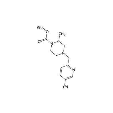 CC1CN(Cc2ccc(C#N)cn2)CCN1C(=O)OC(C)(C)C